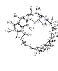 CO[C@H]1/C=C/O[C@@]2(C)Oc3c(C)c(O)c4c(O)c(c(CCN(C)C)c(O)c4c3C2=O)NC(=O)/C(C)=C\C=C\[C@H](C)[C@H](O)[C@@H](C)[C@@H](O)[C@@H](C)[C@H](OC(C)=O)[C@@H]1C